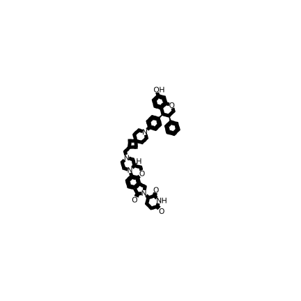 O=C1CCC(N2Cc3c(ccc4c3OC[C@@H]3CN(CC5CC6(CCN(c7ccc([C@H]8c9ccc(O)cc9OC[C@H]8c8ccccc8)cc7)CC6)C5)CCN43)C2=O)C(=O)N1